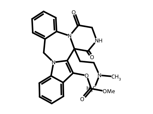 COC(=O)Oc1c2n(c3ccccc13)Cc1ccccc1N1C(=O)CNC(=O)C21CCN(C)C